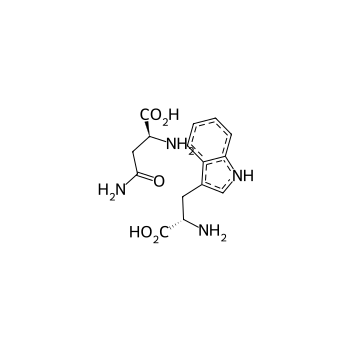 NC(=O)C[C@H](N)C(=O)O.N[C@@H](Cc1c[nH]c2ccccc12)C(=O)O